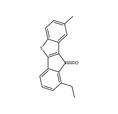 CCc1cccc2c1C(=O)c1c-2sc2ccc(C)cc12